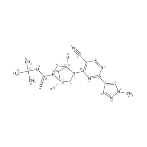 Cn1cc(-c2ncc(C#N)c(N3C[C@@H]4C[C@H]3CN4C(=O)OC(C)(C)C)n2)cn1